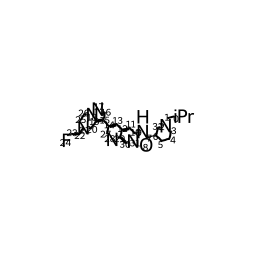 CC(C)CN1CCC[C@@H](C(=O)Nc2cc3cc(-c4cnn5c4CN(CCF)CC5)cnc3cn2)C1